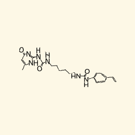 C=Cc1ccc(NC(=O)NCCCCCCNC(=O)Nc2nc(=O)cc(C)[nH]2)cc1